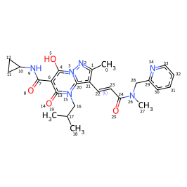 Cc1nn2c(O)c(C(=O)NC3CC3)c(=O)n(CC(C)C)c2c1/C=C/C(=O)N(C)Cc1ccccn1